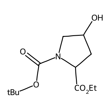 CCOC(=O)C1CC(O)CN1C(=O)OC(C)(C)C